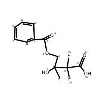 CC(O)(COC(=O)c1ccccc1)C(F)(F)C(=O)O